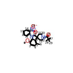 COc1ccc(C)c2c1N(c1ccccc1[N+](=O)[O-])CC21CCN(C(=O)C(C)(C)C)CC1